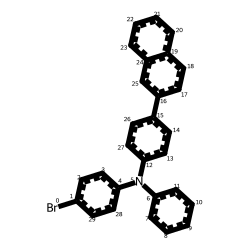 Brc1ccc(N(c2ccccc2)c2ccc(-c3ccc4ccccc4c3)cc2)cc1